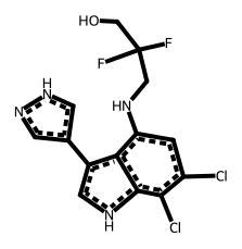 OCC(F)(F)CNc1cc(Cl)c(Cl)c2[nH]cc(-c3cn[nH]c3)c12